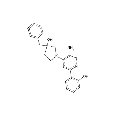 Nc1nnc(-c2ccccc2O)cc1N1CCC(O)(Cc2ccccc2)C1